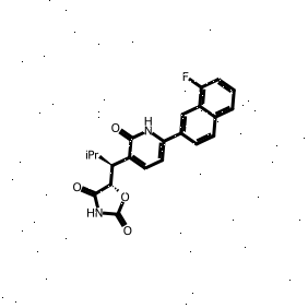 CC(C)[C@@H](c1ccc(-c2ccc3cccc(F)c3c2)[nH]c1=O)[C@@H]1OC(=O)NC1=O